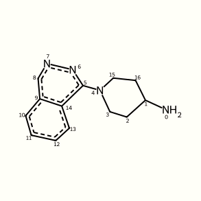 NC1CCN(c2nncc3ccccc23)CC1